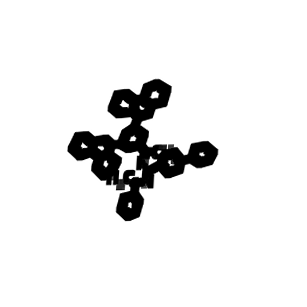 C=C(/N=C(\N=C(/C)c1cc(-c2cc3ccccc3c3ccccc23)cc(-c2cc3ccccc3c3ccccc23)c1)c1ccc(-c2ccccc2)cc1)c1ccccc1